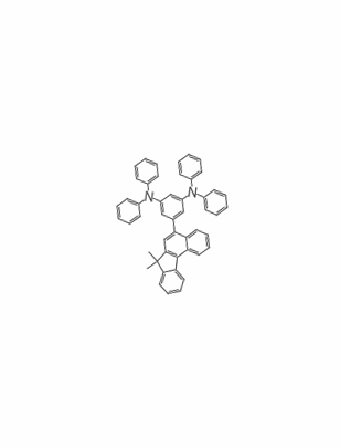 CC1(C)c2ccccc2-c2c1cc(-c1cc(N(c3ccccc3)c3ccccc3)cc(N(c3ccccc3)c3ccccc3)c1)c1ccccc21